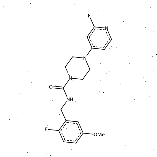 COc1ccc(F)c(CNC(=O)N2CCN(c3ccnc(F)c3)CC2)c1